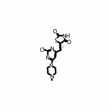 CN1CCN(c2cc(/C=C3\SC(=O)NC3=O)nc(Cl)n2)CC1